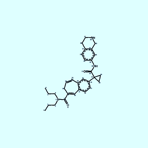 CCCN(CCC)C(=O)C1=Cc2ccc(C3(C(=O)Nc4ccc5c(c4)CNCC5)CC3)cc2N=CC1